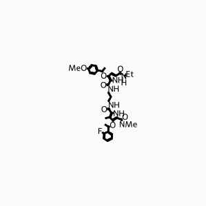 CCNC(=O)c1cc(OC(C)c2ccc(OC)cc2)c(C(=O)NCCCNC(=O)c2[nH]c(C(=O)NC)c(OC(C)c3ccccc3F)c2C)[nH]1